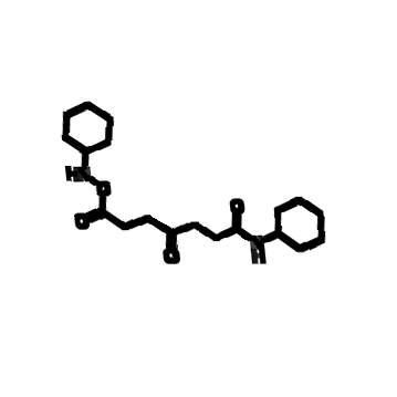 O=C(CCC(=O)NC1CCCCC1)CCC(=O)ONC1CCCCC1